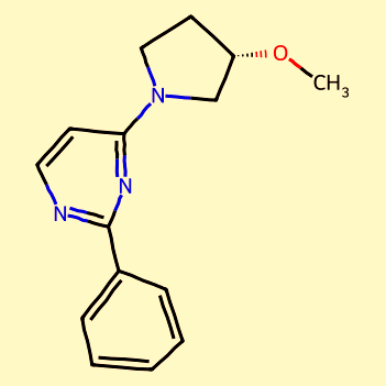 CO[C@H]1CCN(c2ccnc(-c3ccccc3)n2)C1